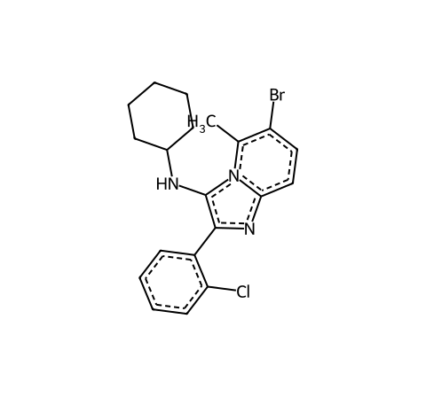 Cc1c(Br)ccc2nc(-c3ccccc3Cl)c(NC3CCCCC3)n12